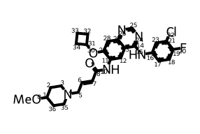 COC1CCN(CC=CC(=O)Nc2cc3c(Nc4ccc(F)c(Cl)c4)ncnc3cc2OC2CCC2)CC1